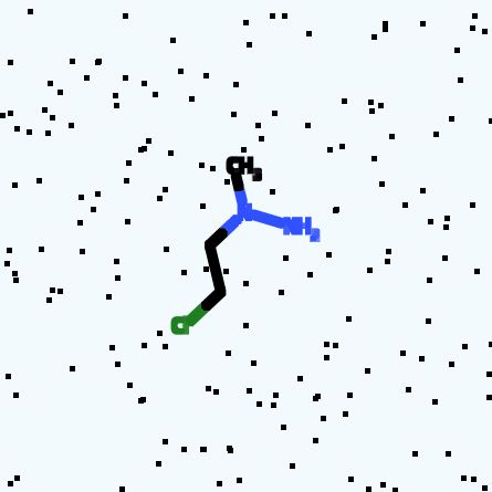 CN(N)CCCl